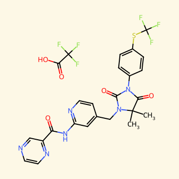 CC1(C)C(=O)N(c2ccc(SC(F)(F)F)cc2)C(=O)N1Cc1ccnc(NC(=O)c2cnccn2)c1.O=C(O)C(F)(F)F